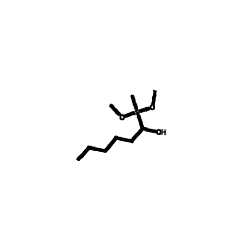 CCCCCC(O)[Si](C)(OC)OC